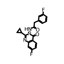 O=C(Cc1cccc(F)c1)Nn1c(C2CC2)nc2cc(F)ccc2c1=O